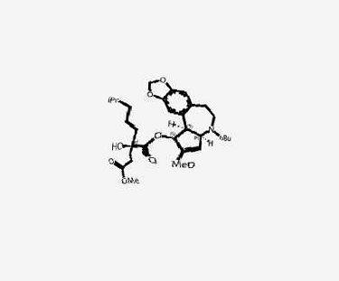 CCCCN1CCc2cc3c(cc2[C@@H]2[C@H](OC(=O)[C@@](O)(CCCC(C)C)CC(=O)OC)C(OC)=C[C@@H]21)OCO3